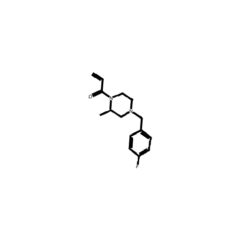 C=CC(=O)N1CCN(Cc2ccc(F)cc2)CC1C